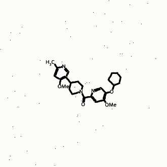 COc1cc(C(=O)N2CCC(c3cnc(C)cc3OC)CC2)ncc1OC1CCCCC1